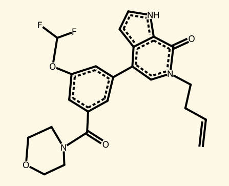 C=CCCn1cc(-c2cc(OC(F)F)cc(C(=O)N3CCOCC3)c2)c2cc[nH]c2c1=O